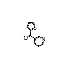 O=C(c1cccnc1)c1cccs1